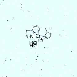 CC1C=CC=[C]1[Cr]([c]1cccc2cccnc12)[CH](C)C.Cl.Cl